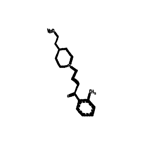 COCCC1CCN(CCCC(=O)c2ccccc2C)CC1